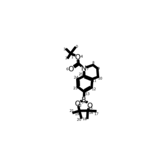 CC(C)(C)OC(=O)N1CCCc2cc(B3OC(C)(C)C(C)(C)O3)ccc21